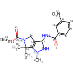 CN1NC(NC(=O)c2cccc([N+](=O)[O-])c2)C2=C1C(C)(C)N(C(=O)OC(C)(C)C)C2